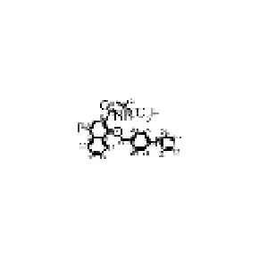 CC(C)(NC(=O)c1cc(F)c2ccccc2c1OCc1ccc(-n2cccc2)cc1)C(=O)O